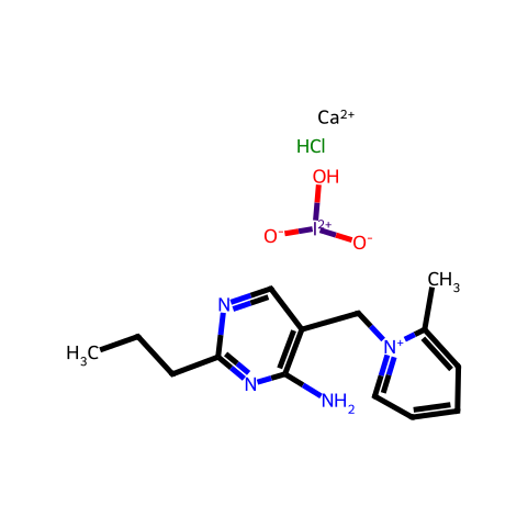 CCCc1ncc(C[n+]2ccccc2C)c(N)n1.Cl.[Ca+2].[O-][I+2]([O-])O